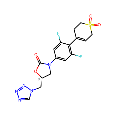 O=C1O[C@@H](Cn2cnnn2)CN1c1cc(F)c(C2=CCS(=O)(=O)CC2)c(F)c1